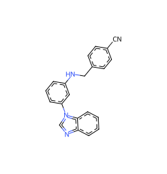 N#Cc1ccc(CNc2cccc(-n3cnc4ccccc43)c2)cc1